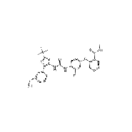 CNC(=O)c1ncccc1Oc1ccc(NC(=O)Nc2cc(C(C)(C)C)nn2-c2cccc(CO)c2)c(F)c1